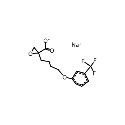 O=C([O-])C1(CCCCOc2cccc(C(F)(F)F)c2)CO1.[Na+]